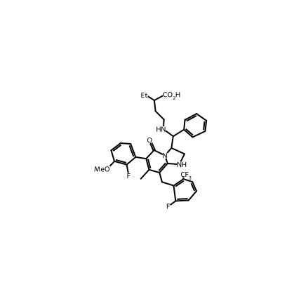 CCC(CCNC(c1ccccc1)C1CNc2c(Cc3c(F)cccc3C(F)(F)F)c(C)c(-c3cccc(OC)c3F)c(=O)n21)C(=O)O